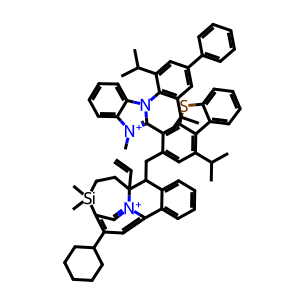 C=CC12CC[Si](C)(C)c3c[n+]1c(cc3C1CCCCC1)-c1ccccc1C2Cc1cc(C(C)C)c2c(sc3ccccc32)c1-c1n(-c2c(C(C)C)cc(-c3ccccc3)cc2C(C)C)c2ccccc2[n+]1C